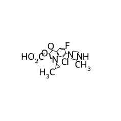 CC1CN(c2c(F)cc3c(=O)c(OC(=O)O)cn(C4CC4C)c3c2Cl)CCN1